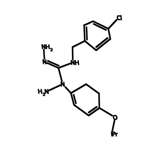 CC(C)OC1=CC=C(N(N)C(=NN)NCc2ccc(Cl)cc2)CC1